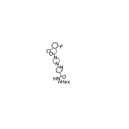 CCCCCCNC(=O)c1ccc(N2CCN(C(=O)Cc3c(F)cccc3Cl)CC2)nc1